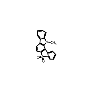 Cn1c2ccccc2c2ccc3c(c21)-c1ccccc1S3(=O)=O